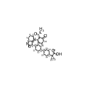 C[C@@H](Oc1ccc2noc(-c3ccc(-c4ccc(C5(C(=O)O)CC5)cc4)cc3)c2n1)c1ccccc1Cl